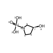 O=P(O)(O)N1CC[C@H](O)C1